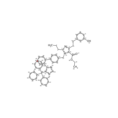 CCCc1nc(CSc2cccc(O)c2)c(C(=O)OCC)n1Cc1ccc(-c2ccccc2-c2nnnn2C(c2ccccc2)(c2ccccc2)c2ccccc2)cc1